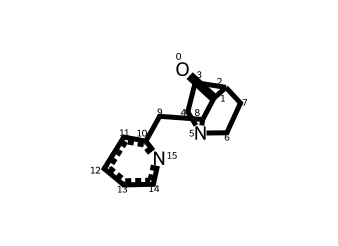 O=C1C2CCN(CC2)C1Cc1ccccn1